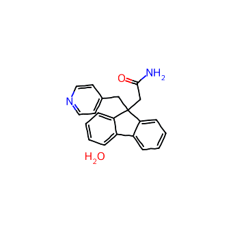 NC(=O)CC1(Cc2ccncc2)c2ccccc2-c2ccccc21.O